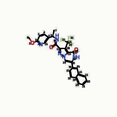 COc1ccc([C@@H](C)NC(=O)c2nn3cc(-c4ccc5ccccc5c4)[nH]c(=O)c3c2C(F)(F)F)cn1